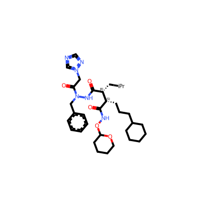 CC(C)C[C@@H](C(=O)NN(Cc1ccccc1)C(=O)Cn1cncn1)[C@H](CCCC1CCCCC1)C(=O)NOC1CCCCO1